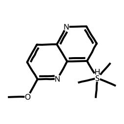 COc1ccc2nccc([SH](C)(C)(C)C)c2n1